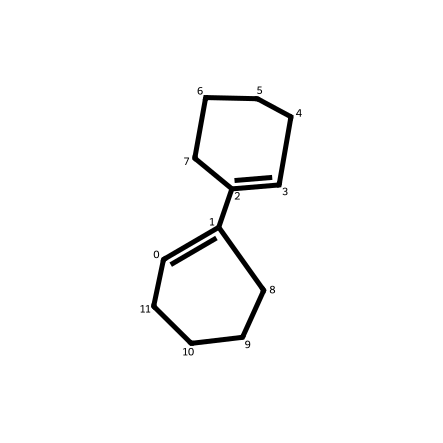 C1=C(C2=CCCCC2)CCCC1